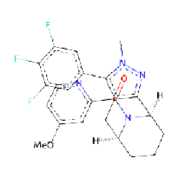 COc1ccnc(C(=O)N2[C@H]3CCC[C@@H]2c2nn(C)c(-c4cc(F)c(F)c(F)c4)c2C3)c1